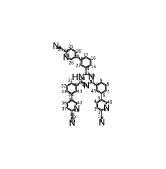 N#Cc1ccc(-c2cccc(C3=NC(c4cccc(-c5ccc(C#N)nc5)c4)NC(c4cccc(-c5ccc(C#N)nc5)c4)=N3)c2)cn1